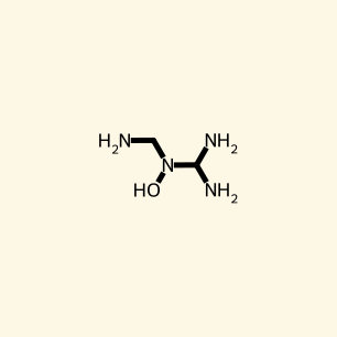 NCN(O)C(N)N